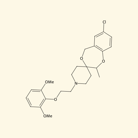 COc1cccc(OC)c1OCCN1CCC2(CC1)OCc1cc(Cl)ccc1OC2C